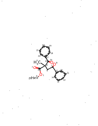 CCCCCCOC(=O)C(C)(CC(=O)c1ccccc1)C(=O)c1ccccc1